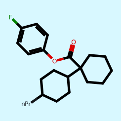 CCCC1CCC(C2(C(=O)Oc3ccc(F)cc3)CCCCC2)CC1